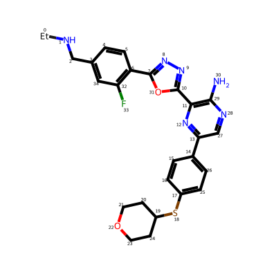 CCNCc1ccc(-c2nnc(-c3nc(-c4ccc(SC5CCOCC5)cc4)cnc3N)o2)c(F)c1